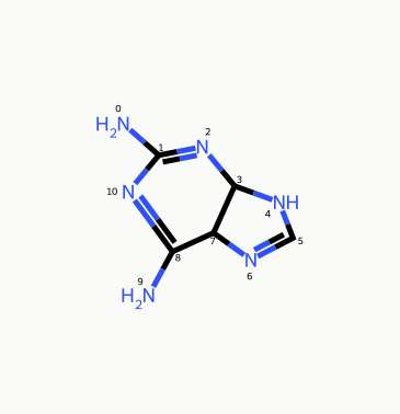 NC1=NC2NC=NC2C(N)=N1